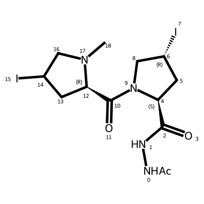 CC(=O)NNC(=O)[C@@H]1C[C@@H](I)CN1C(=O)[C@H]1CC(I)CN1C